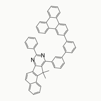 CC1(C)c2c(-c3cccc(-c4cccc(-c5ccc6c7ccccc7c7ccccc7c6c5)c4)c3)nc(-c3ccccc3)nc2-c2ccc3ccccc3c21